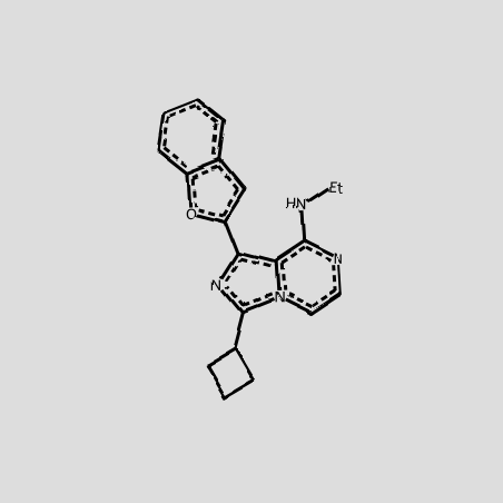 CCNc1nccn2c(C3CCC3)nc(-c3cc4ccccc4o3)c12